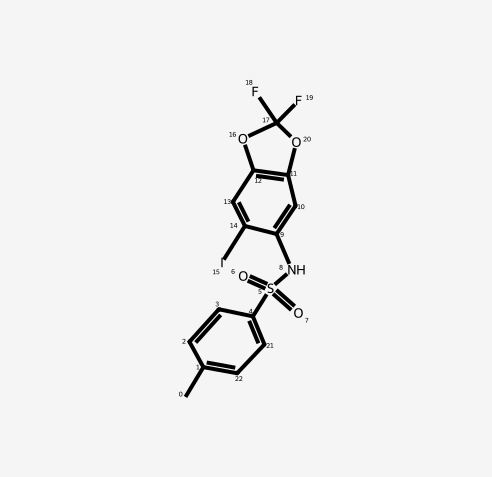 Cc1ccc(S(=O)(=O)Nc2cc3c(cc2I)OC(F)(F)O3)cc1